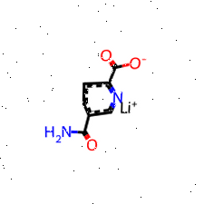 NC(=O)c1ccc(C(=O)[O-])nc1.[Li+]